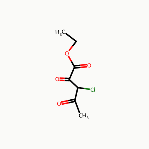 CCOC(=O)C(=O)C(Cl)C(C)=O